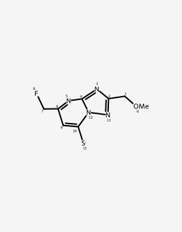 COCc1nc2nc(CF)cc([S])n2n1